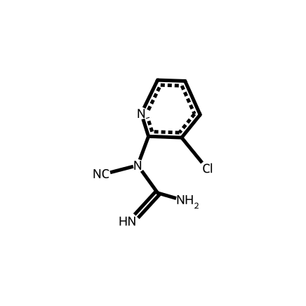 N#CN(C(=N)N)c1ncccc1Cl